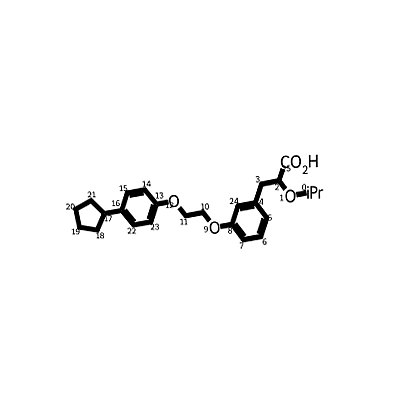 CC(C)OC(Cc1cccc(OCCOc2ccc(C3CCCC3)cc2)c1)C(=O)O